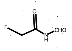 O=[C]NC(=O)CF